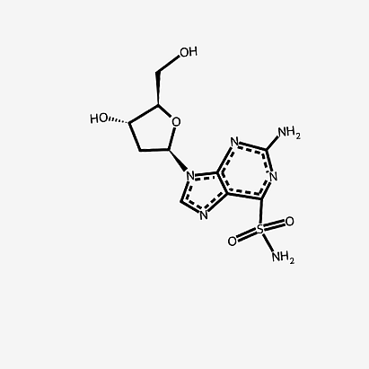 Nc1nc(S(N)(=O)=O)c2ncn([C@H]3C[C@H](O)[C@@H](CO)O3)c2n1